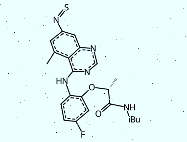 CCC(C)NC(=O)[C@@H](C)Oc1cc(F)ccc1Nc1ncnc2cc(N=S)cc(C)c12